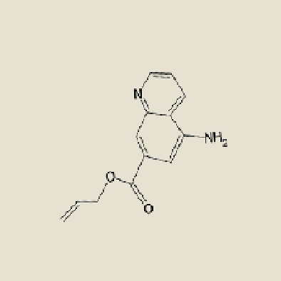 C=CCOC(=O)c1cc(N)c2cccnc2c1